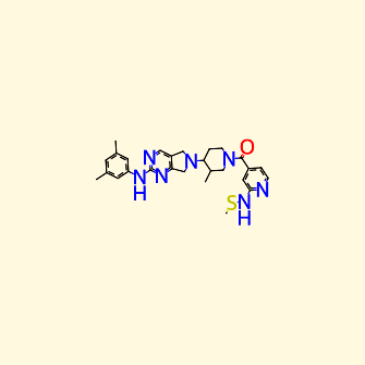 CSNc1cc(C(=O)N2CCC(N3Cc4cnc(Nc5cc(C)cc(C)c5)nc4C3)C(C)C2)ccn1